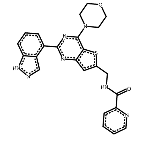 O=C(NCc1cc2nc(-c3cccc4[nH]ncc34)nc(N3CCOCC3)c2s1)c1ccccn1